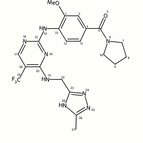 COc1cc(C(=O)N2CCCC2)ccc1Nc1ncc(C(F)(F)F)c(NCc2nnc(C)[nH]2)n1